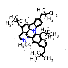 Cc1c2cc(CC(C)(C)C)ccc2c(CC(C)(C)C)c2c1c1c3c(cc[n+]1C)c(CC(C)(C)C)cc1c4cc(CC(C)(C)C)ccc4n2c13